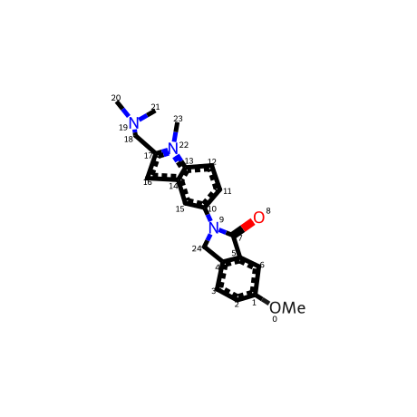 COc1ccc2c(c1)C(=O)N(c1ccc3c(c1)cc(CN(C)C)n3C)C2